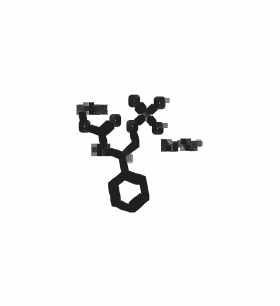 CCCCCCOC(=O)N[C@@H](COP(=O)([O-])[O-])c1ccccc1.[Na+].[Na+]